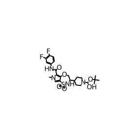 Cn1cc2c(c1C(=O)Nc1ccc(F)c(F)c1)OCC(C1CCN(C(O)OC(C)(C)C)CC1)NS2(=O)=O